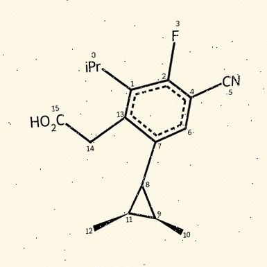 CC(C)c1c(F)c(C#N)cc(C2[C@@H](C)[C@H]2C)c1CC(=O)O